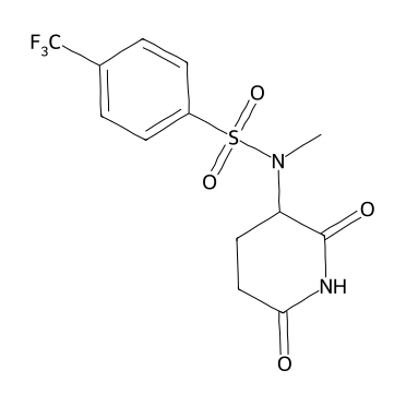 CN(C1CCC(=O)NC1=O)S(=O)(=O)c1ccc(C(F)(F)F)cc1